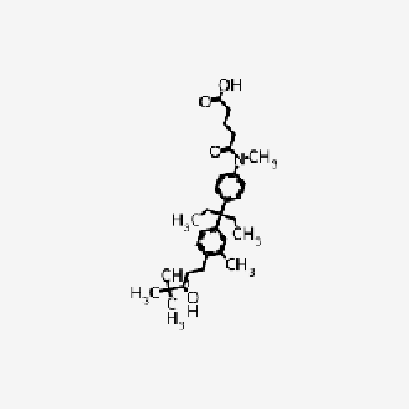 CCC(CC)(c1ccc(N(C)C(=O)CCCC(=O)O)cc1)c1ccc(CCC(O)C(C)(C)C)c(C)c1